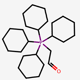 O=CCP(C1CCCCC1)(C1CCCCC1)(C1CCCCC1)C1CCCCC1